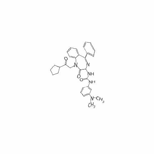 CN(C)c1cccc(NC(=O)NC2N=C(c3ccccc3)c3ccccc3N(CC(=O)C3CCCC3)C2=O)c1